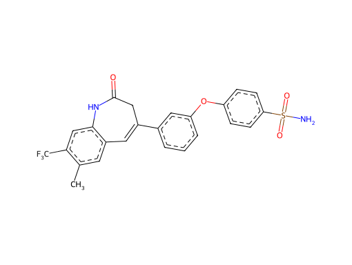 Cc1cc2c(cc1C(F)(F)F)NC(=O)CC(c1cccc(Oc3ccc(S(N)(=O)=O)cc3)c1)=C2